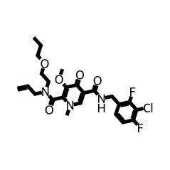 C=CCN(CCOCCC)C(=O)c1c(OC)c(=O)c(C(=O)NCc2ccc(F)c(Cl)c2F)cn1C